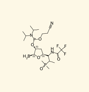 B[C@@H]1O[C@H](C(NC(=O)C(F)(F)F)C(C)P(C)(C)=O)C[C@@H]1OP(OCCC#N)N(C(C)C)C(C)C